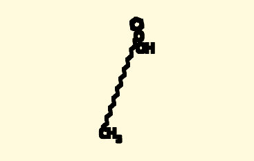 CCCCCCCCCCCCCCCCCCC(O)COc1ccccc1